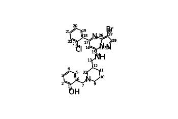 Oc1ccccc1CN1CCCC(CNc2cc(-c3ccccc3Cl)nc3c(Br)cnn23)C1